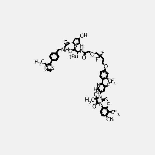 Cc1ncsc1-c1ccc(CNC2OC2[C@@H]2C[C@@H](O)CN2C(=O)[C@@H](NC(=O)COCC(F)(F)CCOc2ccc(-c3ncc(N4C(=S)N(c5ccc(C#N)c(C(F)(F)F)c5F)C(=O)C4(C)C)cc3F)c(C(F)(F)F)c2)C(C)(C)C)cc1